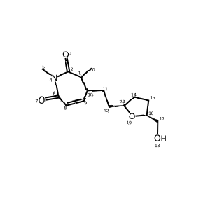 CC1C(=O)N(C)C(=O)C=CC1CC[C@H]1CC[C@@H](CO)O1